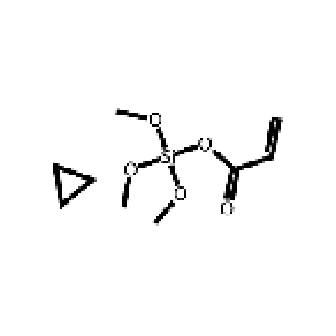 C1CC1.C=CC(=O)O[Si](OC)(OC)OC